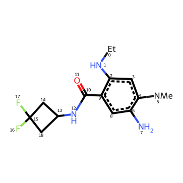 CCNc1cc(NC)c(N)cc1C(=O)NC1CC(F)(F)C1